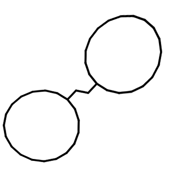 C1CCCCCCCCCC(CCC2CCCCCCCCCCCCCCCCCC2)CCCCCCCC1